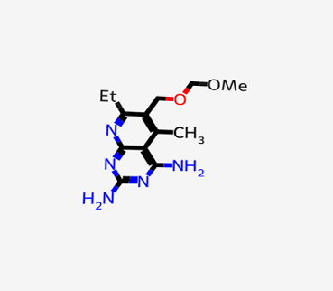 CCc1nc2nc(N)nc(N)c2c(C)c1COCOC